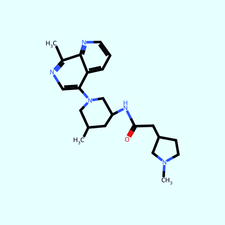 Cc1ncc(N2CC(C)CC(NC(=O)CC3CCN(C)C3)C2)c2cccnc12